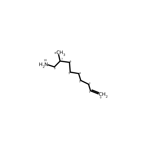 C=CCCCCCC(C)CN